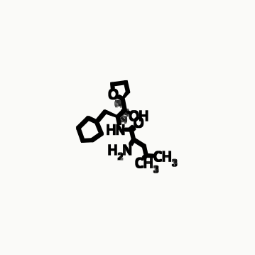 CC(C)CC(N)C(=O)N[C@@H](CC1CCCCC1)[C@@H](O)[C@@H]1CCCO1